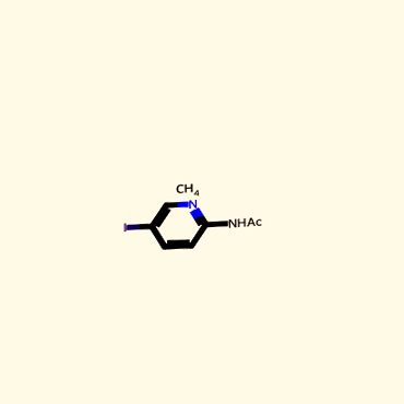 C.CC(=O)Nc1ccc(I)cn1